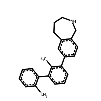 Cc1ccccc1-c1cccc(-c2ccc3c(c2)CCCNC3)c1C